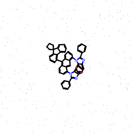 c1ccc(-c2nc3ccccc3n2-c2cccc3c(-c4cccc5c4-c4ccccc4C54CCCC4)c4cccc(-n5c(-c6ccccc6)nc6ccccc65)c4cc23)cc1